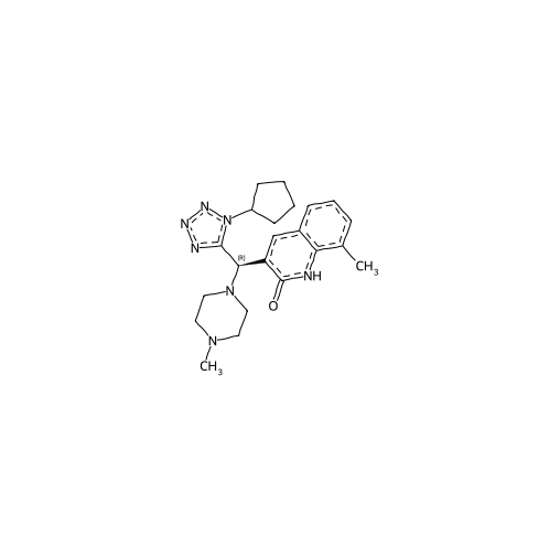 Cc1cccc2cc([C@H](c3nnnn3C3CCCC3)N3CCN(C)CC3)c(=O)[nH]c12